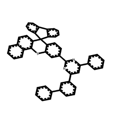 c1ccc(-c2cccc(-c3cc(-c4ccccc4)nc(-c4ccc5c(c4)Sc4c(ccc6ccccc46)C54c5ccccc5-c5ccccc54)n3)c2)cc1